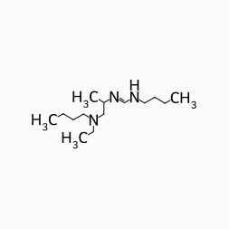 CCCCN/C=N/C(C)CN(CC)CCCC